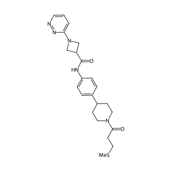 CSCCC(=O)N1CCC(c2ccc(NC(=O)C3CN(c4cccnn4)C3)cc2)CC1